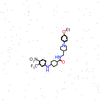 CCOc1ccc(N2CCC(CNC(=O)C3CCC(Nc4ccc([N+](=O)[O-])c(C(F)(F)F)c4)CC3)CC2)cc1